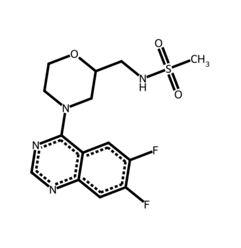 CS(=O)(=O)NCC1CN(c2ncnc3cc(F)c(F)cc23)CCO1